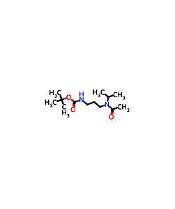 CC(=O)N(CCCNC(=O)OC(C)(C)C)C(C)C